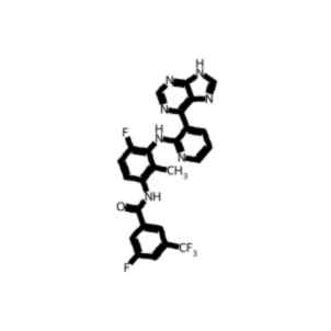 Cc1c(NC(=O)c2cc(F)cc(C(F)(F)F)c2)ccc(F)c1Nc1ncccc1-c1ncnc2[nH]cnc12